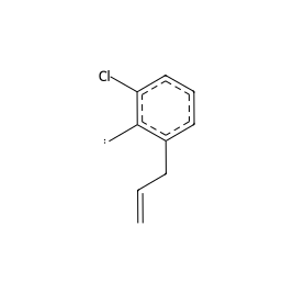 [CH]c1c(Cl)cccc1CC=C